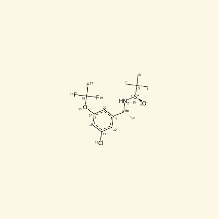 C[C@@H](N[S@+]([O-])C(C)(C)C)c1cc(Cl)cc(OC(F)(F)F)c1